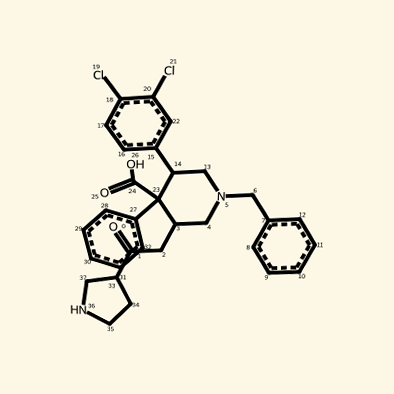 O=C(CC1CN(Cc2ccccc2)CC(c2ccc(Cl)c(Cl)c2)C1(C(=O)O)c1ccccc1)C1CCNC1